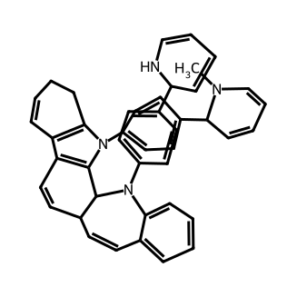 CN1C=CC=CC1c1ccc(-n2c3c(c4c2C2C(C=Cc5ccccc5N2c2ccc(C5C=CC=CN5)cc2)C=C4)C=CCC3)cc1